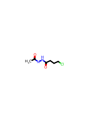 CC(=O)[N]NC(=O)CCCCl